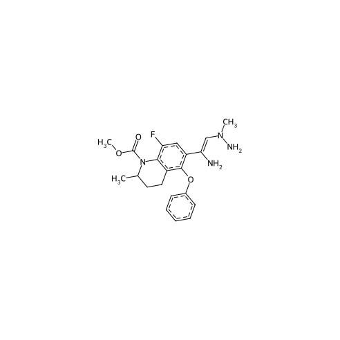 COC(=O)N1c2c(F)cc(/C(N)=C/N(C)N)c(Oc3ccccc3)c2CCC1C